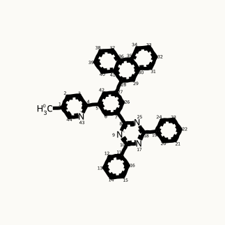 Cc1ccc(-c2cc(-c3nc(-c4ccccc4)nc(-c4ccccc4)n3)cc(-c3cc4ccccc4c4ccccc34)c2)nc1